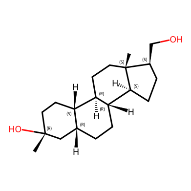 C[C@@]1(O)CC[C@H]2[C@H](CC[C@@H]3[C@@H]2CC[C@]2(C)[C@@H](CO)CC[C@@H]32)C1